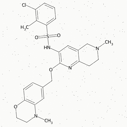 Cc1c(Cl)cccc1S(=O)(=O)Nc1cc2c(nc1OCc1ccc3c(c1)N(C)CCO3)CCN(C)C2